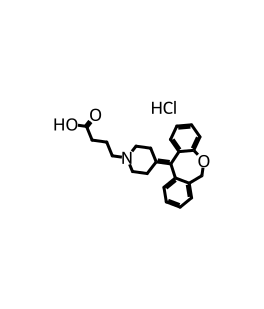 Cl.O=C(O)CCCN1CCC(=C2c3ccccc3COc3ccccc32)CC1